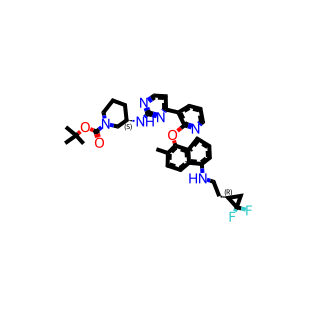 Cc1ccc2c(NCC[C@@H]3CC3(F)F)cccc2c1Oc1ncccc1-c1ccnc(N[C@H]2CCCN(C(=O)OC(C)(C)C)C2)n1